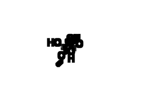 C=CCO.C=COC=C.O.O=S(=O)(O)O